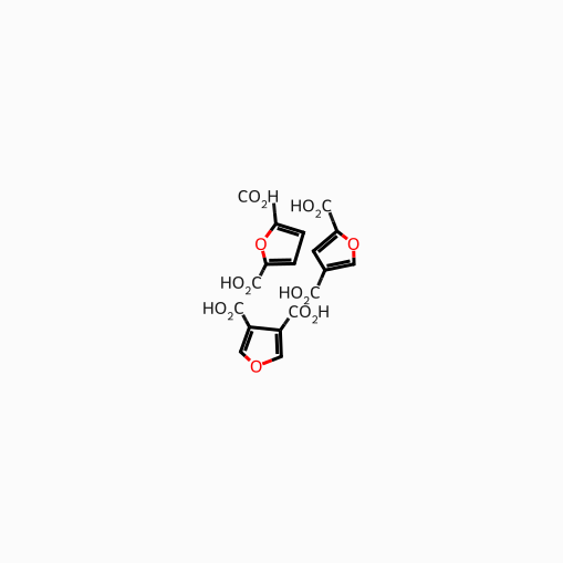 O=C(O)c1ccc(C(=O)O)o1.O=C(O)c1coc(C(=O)O)c1.O=C(O)c1cocc1C(=O)O